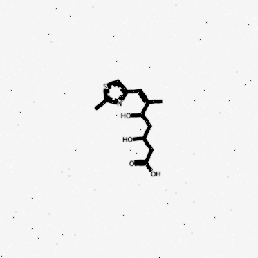 CC(=Cc1csc(C)n1)C(O)CC(O)CC(=O)O